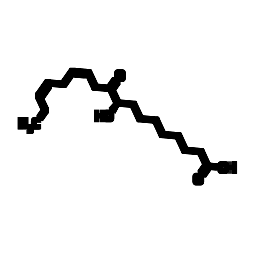 CC/C=C\C/C=C\CC(=O)[C@H](O)CCCCCCCC(=O)O